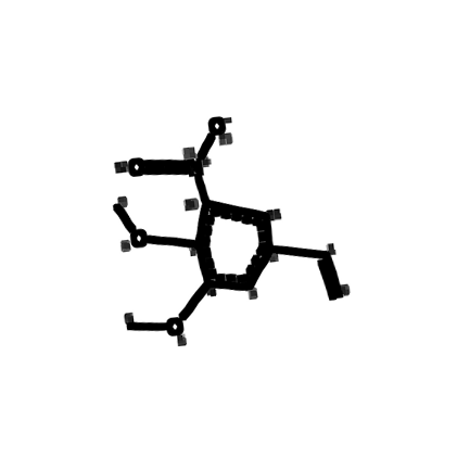 C=Cc1cc(OC)c(OC)c([N+](=O)[O-])c1